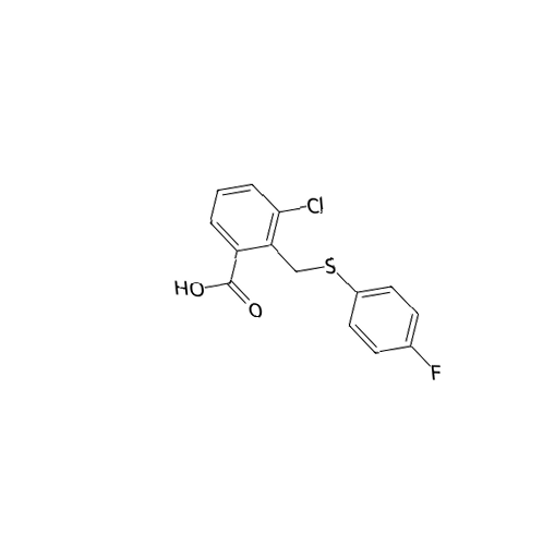 O=C(O)c1cccc(Cl)c1CSc1ccc(F)cc1